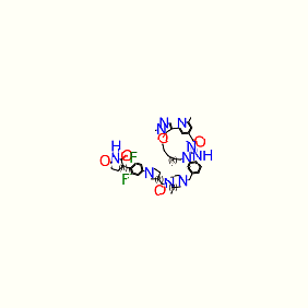 Cc1cc2cc(n1)-c1cnn(C)c1OCCC[C@@H](C)CN1/C(=N/C2=O)Nc2ccc(CN3CCN(C(=O)[C@@H]4CCN(c5cc(F)c([C@H]6CCC(=O)NC6=O)c(F)c5)C4)[C@H](C)C3)cc21